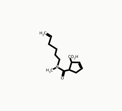 C=CCCCCN(C)C(=O)C1CC=CC1C(=O)O